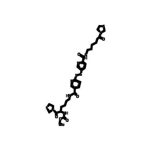 CC(C)(C)OC(=O)NC(CCCCNC(=O)c1ccc(SSc2ccc(C(=O)NCCCCCC(=O)N3CCSC3)nc2)nc1)C(=O)N1CCSC1